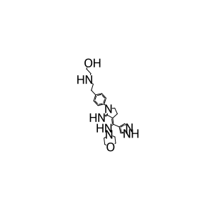 N=C1/C(=C(\NN2CCOCC2)c2cn[nH]c2)CCN1c1ccc(CCNCCO)cc1